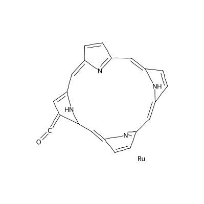 O=C=C1C=C2C=C3C=CC(=N3)C=c3ccc([nH]3)=CC3=NC(=CC1N2)C=C3.[Ru]